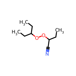 CCC(C#N)OOC(CC)CC